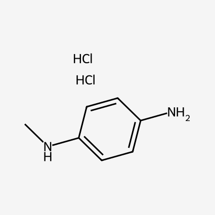 CNc1ccc(N)cc1.Cl.Cl